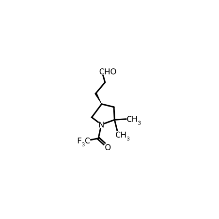 CC1(C)C[C@H](CCC=O)CN1C(=O)C(F)(F)F